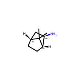 CC1(C)[C@@H]2CC[C@H]1[C@H](N)C2